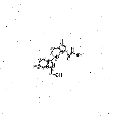 CC(C)NC(=O)c1c[nH]c2ncc(-c3nc(CO)n4cc(F)ccc34)nc12